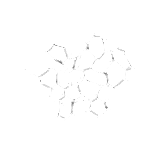 Cc1cc(C)c(-c2nc(N3c4c(c5ccccc5c5c4sc4ccccc45)-c4c(ccc5ccccc45)N3c3ccccc3)nc3ccccc23)c(C)c1